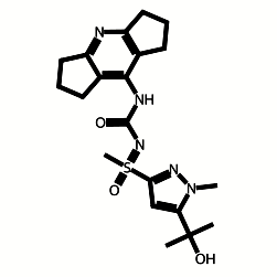 Cn1nc(S(C)(=O)=NC(=O)Nc2c3c(nc4c2CCC4)CCC3)cc1C(C)(C)O